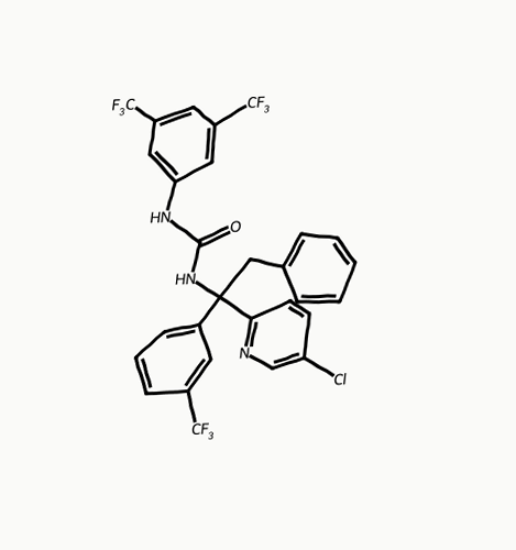 O=C(Nc1cc(C(F)(F)F)cc(C(F)(F)F)c1)NC(Cc1ccccc1)(c1cccc(C(F)(F)F)c1)c1ccc(Cl)cn1